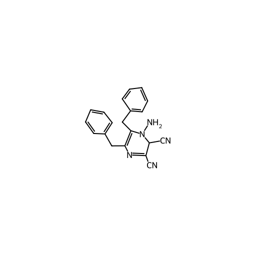 N#CC1=NC(Cc2ccccc2)=C(Cc2ccccc2)N(N)C1C#N